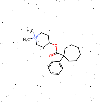 C[N+]1(C)CCC(OC(=O)C2(c3ccccc3)CCCCCC2)CC1